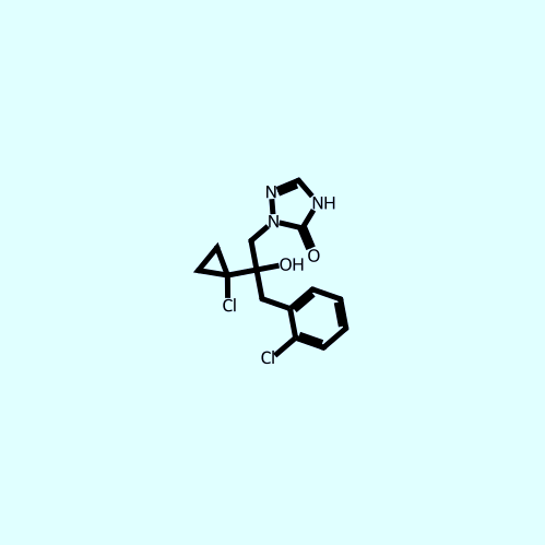 O=c1[nH]cnn1CC(O)(Cc1ccccc1Cl)C1(Cl)CC1